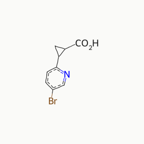 O=C(O)C1CC1c1ccc(Br)cn1